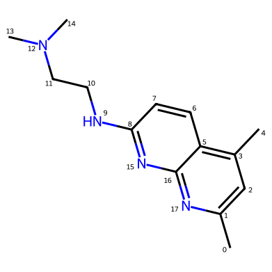 Cc1cc(C)c2ccc(NCCN(C)C)nc2n1